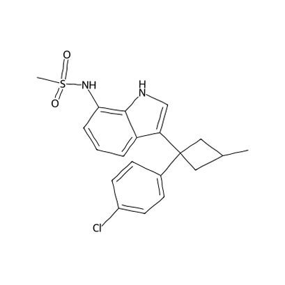 CC1CC(c2ccc(Cl)cc2)(c2c[nH]c3c(NS(C)(=O)=O)cccc23)C1